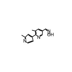 Cc1cc(-c2ncc(/C=N\O)cc2C)ccn1